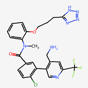 CN(C(=O)c1ccc(Cl)c(-c2cnc(C(F)(F)F)cc2CN)c1)c1ccccc1OCCCc1nnn[nH]1